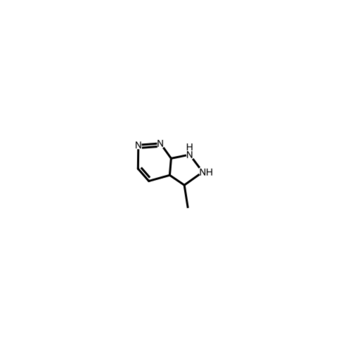 CC1NNC2N=NC=CC12